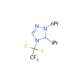 CCCN1N=CN(C(F)(F)C(F)(F)F)C1C(C)C